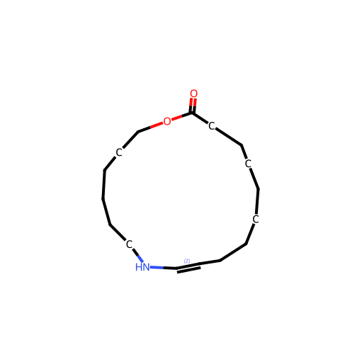 O=C1CCCCCCC/C=C\NCCCCCCO1